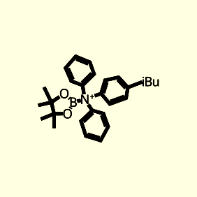 CCC(C)c1ccc([N+](B2OC(C)(C)C(C)(C)O2)(c2ccccc2)c2ccccc2)cc1